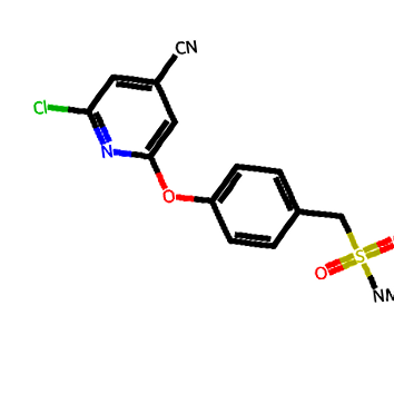 CNS(=O)(=O)Cc1ccc(Oc2cc(C#N)cc(Cl)n2)cc1